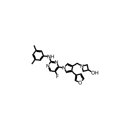 Cc1cc(C)cc(Nc2ncc(F)c(-n3cc(CN4CC(O)C4)c(-c4ccoc4)c3)n2)c1